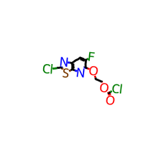 O=C(Cl)OCCOc1nc2sc(Cl)nc2cc1F